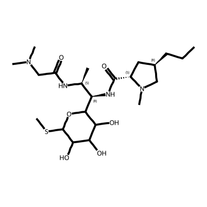 CCC[C@@H]1C[C@@H](C(=O)N[C@@H](C2OC(SC)C(O)C(O)C2O)[C@H](C)NC(=O)CN(C)C)N(C)C1